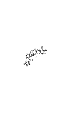 N[C@]1(Cc2cccc(Nc3nccs3)n2)CC[C@@H](Oc2cccc(Cl)c2F)CC1